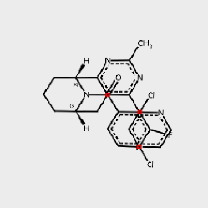 Cc1nc(-c2cnccn2)c2c(n1)[C@H]1CCC[C@@H](C2)N1C(=O)c1ccc(Cl)c(F)c1Cl